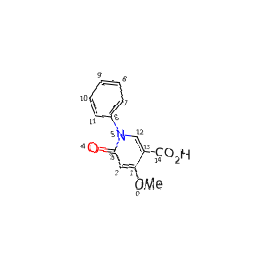 COc1cc(=O)n(-c2ccccc2)cc1C(=O)O